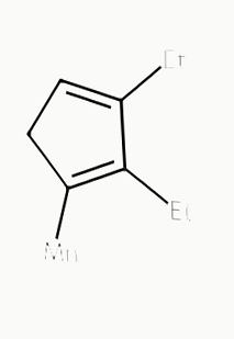 CCC1=CC[C]([Mn])=C1CC